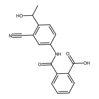 CC(O)c1ccc(NC(=O)c2ccccc2C(=O)O)cc1C#N